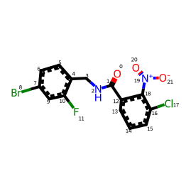 O=C(NCc1ccc(Br)cc1F)c1cccc(Cl)c1[N+](=O)[O-]